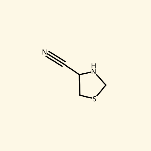 N#CC1CS[CH]N1